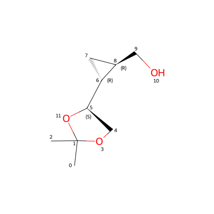 CC1(C)OC[C@H]([C@@H]2C[C@H]2CO)O1